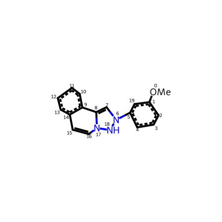 COc1cccc(N2C=C3c4ccccc4C=CN3N2)c1